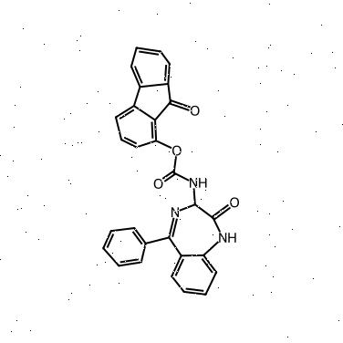 O=C(NC1N=C(c2ccccc2)c2ccccc2NC1=O)Oc1cccc2c1C(=O)c1ccccc1-2